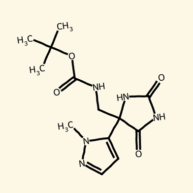 Cn1nccc1C1(CNC(=O)OC(C)(C)C)NC(=O)NC1=O